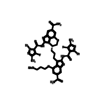 CCn1nc(C)c(F)c1C(=O)Nc1nc2cc(C(N)=O)cc(OCCCOC)c2n1CCC[C@H]1COc2cc(C(N)=O)cc3nc(NC(=O)c4c(F)c(C)nn4CC)n1c23